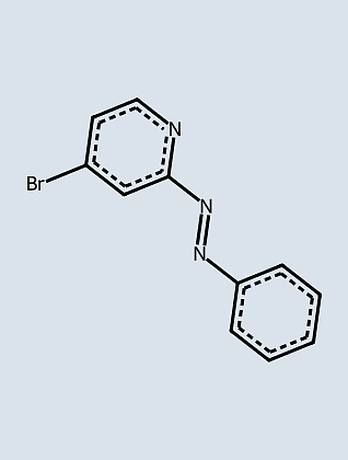 Brc1ccnc(N=Nc2ccccc2)c1